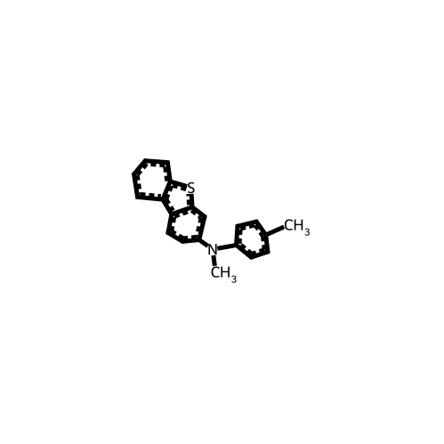 Cc1ccc(N(C)c2ccc3c(c2)sc2ccccc23)cc1